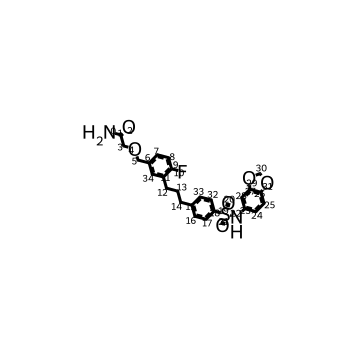 NC(=O)COCc1ccc(F)c(CCCc2ccc(S(=O)(=O)Nc3ccc4c(c3)OCO4)cc2)c1